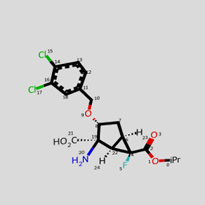 CC(C)OC(=O)[C@@]1(F)[C@@H]2C[C@@H](OCc3ccc(Cl)c(Cl)c3)[C@@](N)(C(=O)O)[C@@H]21